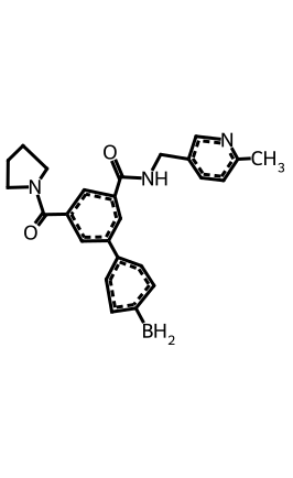 Bc1ccc(-c2cc(C(=O)NCc3ccc(C)nc3)cc(C(=O)N3CCCC3)c2)cc1